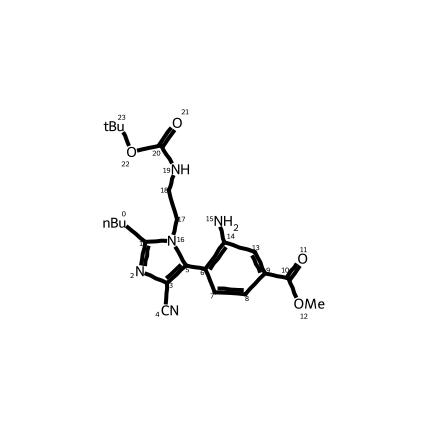 CCCCc1nc(C#N)c(-c2ccc(C(=O)OC)cc2N)n1CCNC(=O)OC(C)(C)C